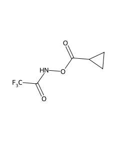 O=C(ONC(=O)C(F)(F)F)C1CC1